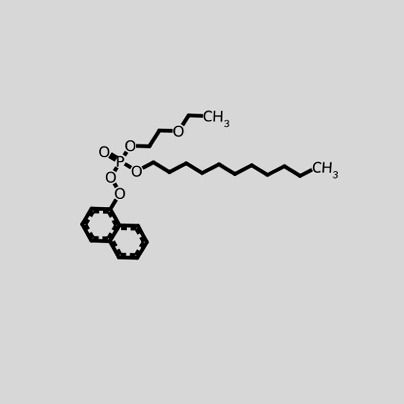 CCCCCCCCCCCOP(=O)(OCCOCC)OOc1cccc2ccccc12